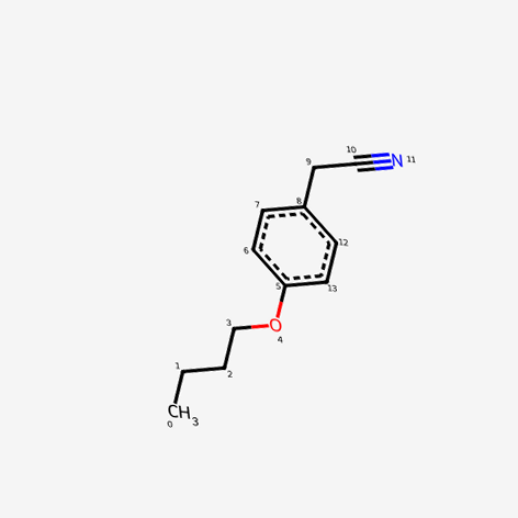 CCCCOc1ccc(CC#N)cc1